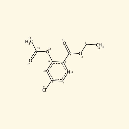 CCOC(=O)c1ncc(Cl)cc1OC(C)=O